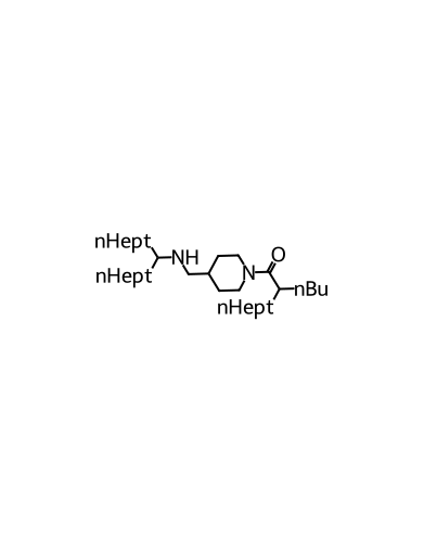 CCCCCCCC(CCCCCCC)NCC1CCN(C(=O)C(CCCC)CCCCCCC)CC1